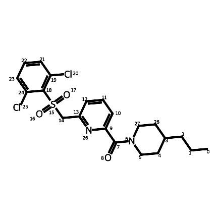 CCCC1CCN(C(=O)c2cccc(CS(=O)(=O)c3c(Cl)cccc3Cl)n2)CC1